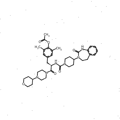 CC(=O)Oc1c(C)cc(C[C@@H](NC(=O)N2CCC(N3CCc4ccccc4NC3=O)CC2)C(=O)N2CCN(C3CCOCC3)CC2)cc1C